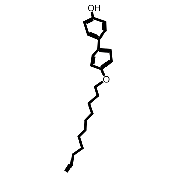 C=CCCCCCCCCCOc1ccc(-c2ccc(O)cc2)cc1